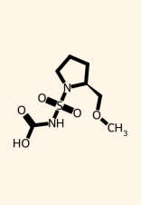 COC[C@@H]1CCCN1S(=O)(=O)NC(=O)O